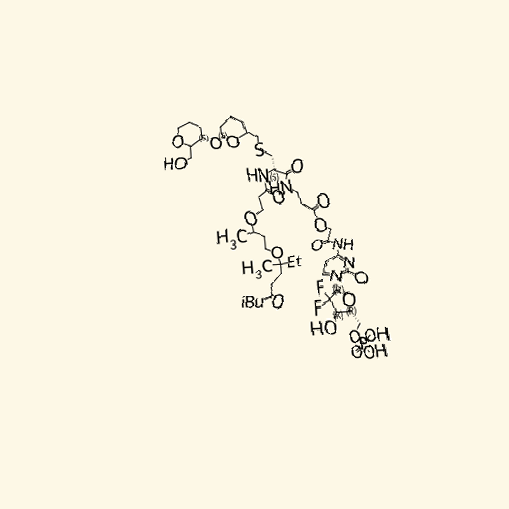 CCC(C)C(=O)CCC(C)(CC)OCCC(C)OCCC(=O)N[C@H](CSCC1CCC[C@@H](O[C@H]2CCCOC2CO)O1)C(=O)NCCC(=O)OCC(=O)Nc1ccn([C@@H]2O[C@H](COP(=O)(O)O)[C@@H](O)C2(F)F)c(=O)n1